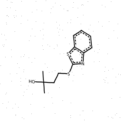 CC(C)(O)CCSc1nc2ccccc2s1